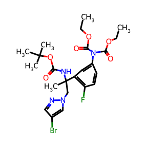 CCOC(=O)N(C(=O)OCC)c1ccc(F)c(C(C)(Cn2cc(Br)cn2)NC(=O)OC(C)(C)C)c1